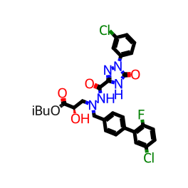 CC(C)COC(=O)[C@H](O)CN(Cc1ccc(-c2cc(Cl)ccc2F)cc1)NC(=O)c1nn(-c2cccc(Cl)c2)c(=O)[nH]1